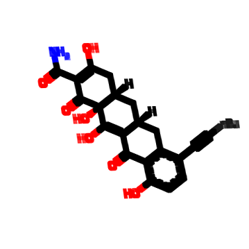 CCCCC#Cc1ccc(O)c2c1C[C@H]1C[C@H]3CC(O)=C(C(N)=O)C(=O)[C@@]3(O)C(O)=C1C2=O